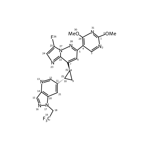 COc1ncc(-c2cc([C@H]3C[C@@H]3c3cnc4cnn(CC(F)(F)F)c4c3)c3ncc(F)n3n2)c(OC)n1